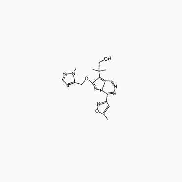 Cc1cc(-c2nncc3c(C(C)(C)CO)c(OCc4ncnn4C)nn23)no1